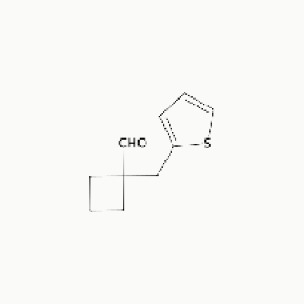 O=CC1(Cc2cccs2)CCC1